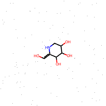 OC=C1NCC(O)C(O)C1O